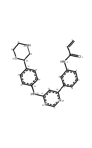 C=CC(=O)Nc1cccc(-c2cc(Nc3ccc(C4CNCCO4)cc3)ncn2)c1